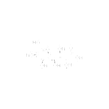 O=C(O)C(O)[C@H](O)[C@@H](O)[C@@H]1O[C@@H](O)[C@H](O)[C@@H]1O